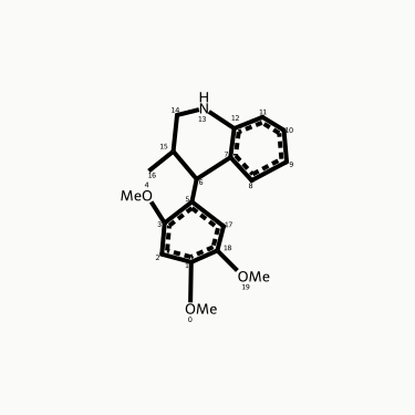 COc1cc(OC)c(C2c3ccccc3NCC2C)cc1OC